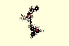 CN[C@@H](C)C(=O)N[C@@H](CCCCNC(=O)c1ccc(-c2c3ccc(=O)cc-3oc3cc(O)ccc23)c(C(=O)O)c1)C(=O)N1CCC[C@H]1CN(CCc1ccccc1)C(=O)C(F)(F)F